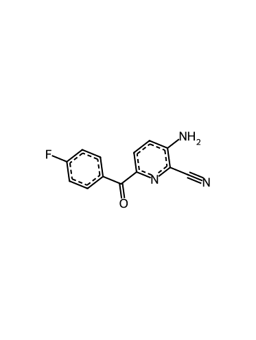 N#Cc1nc(C(=O)c2ccc(F)cc2)ccc1N